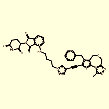 Cc1nnc2n1-c1sc(C#Cc3cnn(CCCCNc4cccc5c4C(=O)N(C4CCC(=O)NC4=O)C5=O)c3)c(Cc3ccccc3)c1COC2